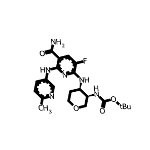 Cc1ccc(Nc2nc(N[C@@H]3CCOC[C@@H]3NC(=O)OC(C)(C)C)c(F)cc2C(N)=O)cn1